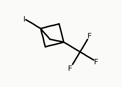 FC(F)(F)C12CC(I)(C1)C2